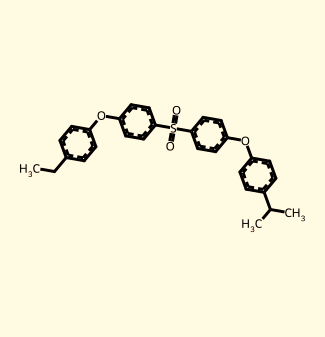 CCc1ccc(Oc2ccc(S(=O)(=O)c3ccc(Oc4ccc(C(C)C)cc4)cc3)cc2)cc1